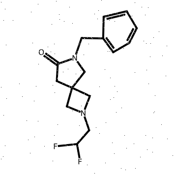 O=C1CC2(CN(CC(F)F)C2)CN1Cc1ccccc1